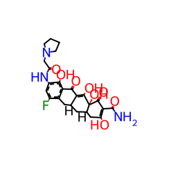 NC(=O)C1=C(O)C[C@@H]2C[C@@H]3Cc4c(F)cc(NC(=O)CN5CCCC5)c(O)c4C(=O)C3=C(O)[C@]2(O)C1=O